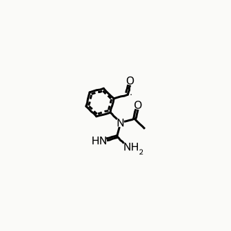 CC(=O)N(C(=N)N)c1ccccc1[C]=O